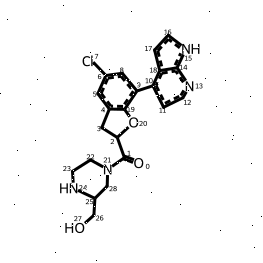 O=C(C1Cc2cc(Cl)cc(-c3ccnc4[nH]ccc34)c2O1)N1CCNC(CO)C1